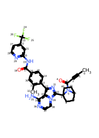 CC#CC(=O)N1C2CCC1(c1nc(-c3ccc(C(=O)Nc4cc(C(F)(F)F)ccn4)cc3C)c3c(N)nccn13)CC2